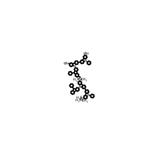 CC(C)(C)c1ccc2c(c1)c1cc(-c3ccc4c5cc(C(C)(C)C)ccc5n(-c5ccc6c(c5)C(c5ccccc5)c5ccc(C[Si](C)(C)c7ccc8c(c7)c7ccc(-c9ccc%10c(c9)c9cc([Si](C)(C)C)ccc9n%10-c9ccccc9)cc7n8-c7ccc8c(c7)C(c7ccccc7)c7ccccc7-8)cc5-6)c4c3)ccc1n2-c1ccccc1